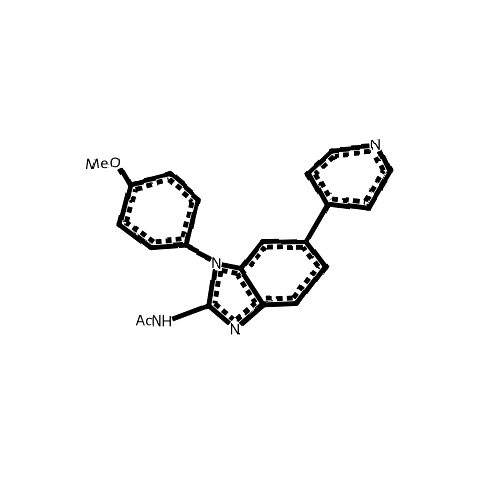 COc1ccc(-n2c(NC(C)=O)nc3ccc(-c4ccncc4)cc32)cc1